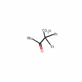 CCC(C(=O)O)(C(=O)C(C)(C)C)C(C)C